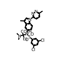 CCC(C(=O)O)(N(C)C)N(c1ccc2c(c1)c(C)cn2-c1ccc(C)nn1)S(=O)(=O)c1cc(Cl)cc(Cl)c1